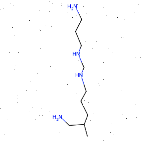 CC(CN)CCCNCNCCCN